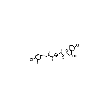 O=C(COc1ccc(Cl)c(F)c1)NC12CC(NC(=O)[C@H]3C[C@@H](O)c4cc(Cl)ccc4O3)(C1)C2